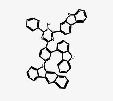 c1ccc(C2N=C(c3ccc(-n4c5ccccc5c5cc6ccccc6cc54)cc3-c3cccc4oc5ccccc5c34)N=C(c3ccc4c(c3)sc3ccccc34)N2)cc1